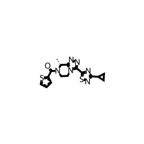 C[C@@H]1c2nnc(-c3nc(C4CC4)ns3)n2CCN1C(=O)c1cccs1